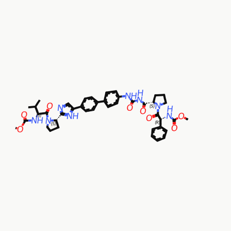 COC(=O)N[C@H](C(=O)N1CCC[C@H]1c1ncc(-c2ccc(-c3ccc(NC(=O)NC(=O)[C@@H]4CCCN4C(=O)[C@H](NC(=O)OC)c4ccccc4)cc3)cc2)[nH]1)C(C)C